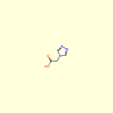 O=C(O)Cn1[c]nnc1